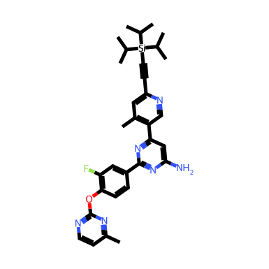 Cc1ccnc(Oc2ccc(-c3nc(N)cc(-c4cnc(C#C[Si](C(C)C)(C(C)C)C(C)C)cc4C)n3)cc2F)n1